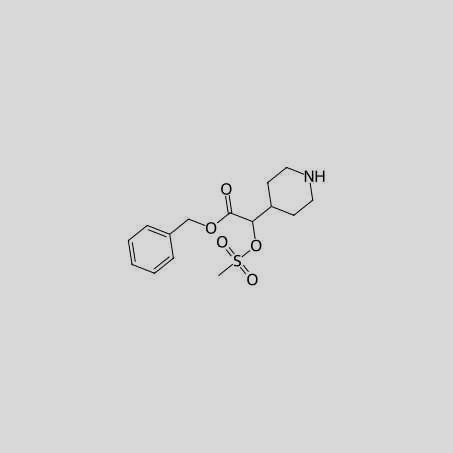 CS(=O)(=O)OC(C(=O)OCc1ccccc1)C1CCNCC1